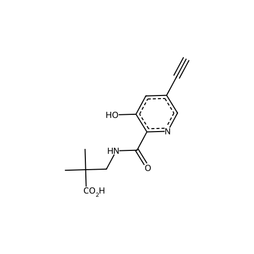 C#Cc1cnc(C(=O)NCC(C)(C)C(=O)O)c(O)c1